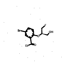 CCC(=O)c1cc(Br)ccc1O[C@H](CO)CF